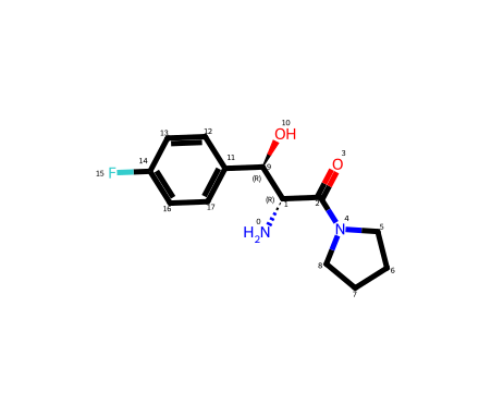 N[C@@H](C(=O)N1CCCC1)[C@H](O)c1ccc(F)cc1